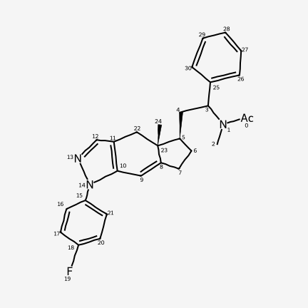 CC(=O)N(C)C(C[C@H]1CCC2=Cc3c(cnn3-c3ccc(F)cc3)C[C@@]21C)c1ccccc1